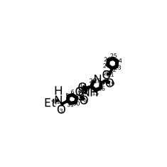 CCNC(=O)c1ccc(S(=O)(=O)NC(=O)c2ccc(C(=O)OCc3ccccc3)nc2)cc1